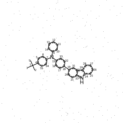 CC(C)(C)c1ccc(N(c2ccccc2)c2ccc(-c3ccc4[nH]c5ccccc5c4c3)cc2)cc1